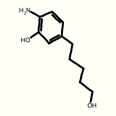 Nc1ccc(CCCCCO)cc1O